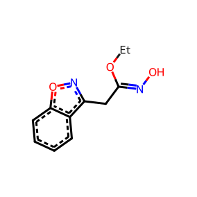 CCOC(Cc1noc2ccccc12)=NO